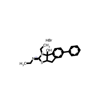 Br.CC/N=C1\SC2Cc3cc(-c4ccccc4)ccc3C2(O)N1CC